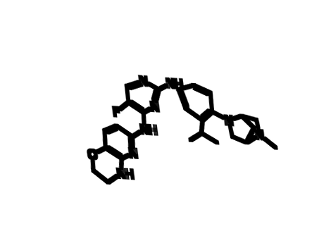 CC(C)c1cc(Nc2ncc(F)c(Nc3ccc4c(n3)NCCO4)n2)ccc1N1CC2CC1CN2C